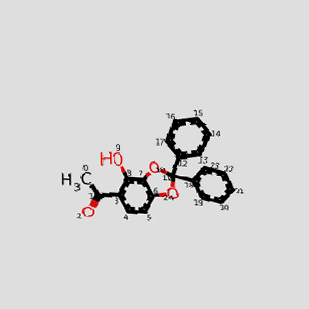 CC(=O)c1ccc2c(c1O)OC(c1ccccc1)(c1ccccc1)O2